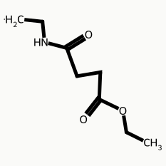 [CH2]CNC(=O)CCC(=O)OCC